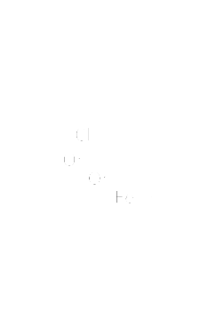 [Cl+].[Fe+3].[O-2].[O-2]